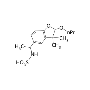 CCCOC1Oc2ccc(C(C)NS(=O)(=O)O)cc2C1(C)C